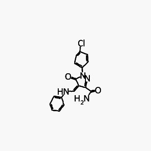 NC(=O)C1=NN(c2ccc(Cl)cc2)C(=O)C1=CNc1ccccc1